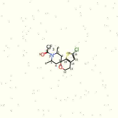 CC1CC2(CC(C)N1C(=O)C(F)(F)F)OCCc1cc(Cl)sc12